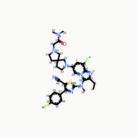 CCc1nc2c(F)cc(N3CCC4(CCN(CC(=O)N(C)C)C4)C3)cn2c1N(C)c1nc(-c2ccc(F)cc2)c(C#N)s1